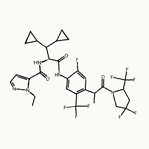 CCn1nccc1C(=O)N[C@H](C(=O)Nc1cc(C(F)(F)F)c(C(C)C(=O)N2CC(F)(F)CC2C(F)(F)F)cc1F)C(C1CC1)C1CC1